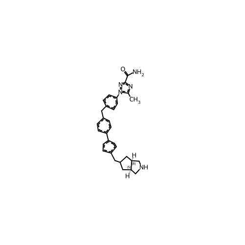 Cc1nc(C(N)=O)nn1-c1ccc(Cc2ccc(-c3ccc(CC4C[C@H]5CNC[C@H]5C4)cc3)cc2)cc1